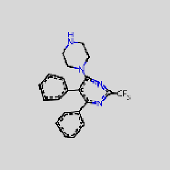 FC(F)(F)c1nc(-c2ccccc2)c(-c2ccccc2)c(N2CCNCC2)n1